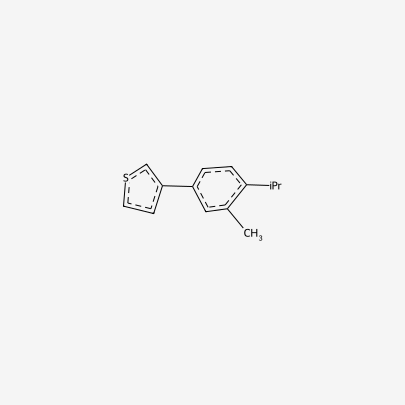 Cc1cc(-c2ccsc2)ccc1C(C)C